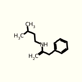 C=C(Cc1ccccc1)NCCC(C)C